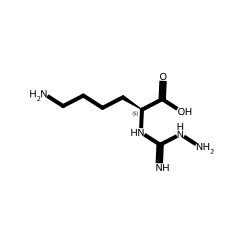 N=C(NN)N[C@@H](CCCCN)C(=O)O